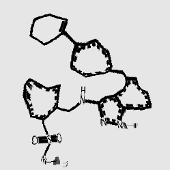 NS(=O)(=O)c1ccccc1CNc1n[nH]c2cccc(-c3ccc(C4=CCCCC4)cc3)c12